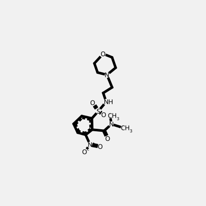 CN(C)C(=O)c1c([N+](=O)[O-])cccc1S(=O)(=O)NCCN1CCOCC1